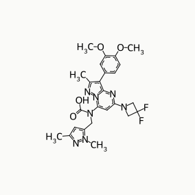 COc1ccc(-c2c(C)nn3c(N(Cc4cc(C)nn4C)C(=O)O)cc(N4CC(F)(F)C4)nc23)cc1OC